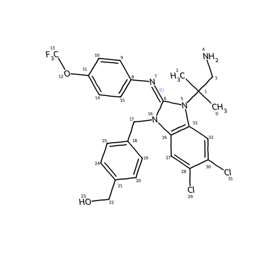 CC(C)(CN)n1/c(=N/c2ccc(OC(F)(F)F)cc2)n(Cc2ccc(CO)cc2)c2cc(Cl)c(Cl)cc21